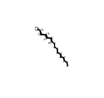 CC/C=C/C=C/CCCCCCCCCCCl